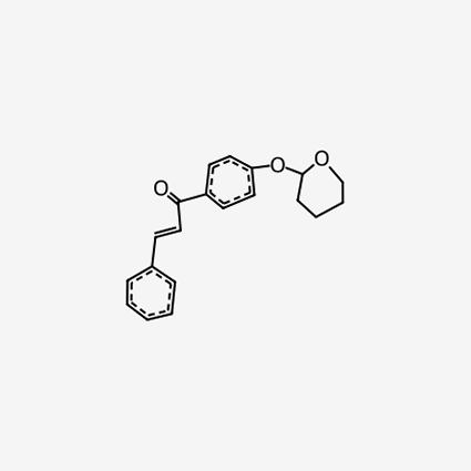 O=C(C=Cc1ccccc1)c1ccc(OC2CCCCO2)cc1